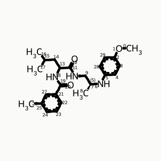 COc1ccc(N[C@@H](C)CNC(=O)C(CC(C)C)NC(=O)c2cccc(C)c2)cc1